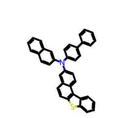 c1ccc(-c2ccc(N(c3ccc4ccccc4c3)c3ccc4c(ccc5sc6ccccc6c54)c3)cc2)cc1